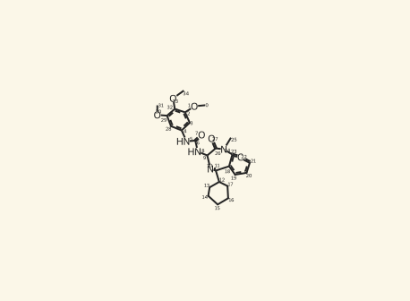 COc1cc(NC(=O)NC2N=C(C3CCCCC3)c3ccccc3N(C)C2=O)cc(OC)c1OC